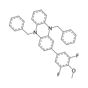 COc1c(F)cc(-c2ccc3c(c2)N(Cc2ccccc2)c2ccccc2N3Cc2ccccc2)cc1F